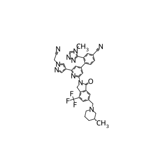 C[C@H]1CCCN(Cc2cc3c(c(C(F)(F)F)c2)CN(c2cc(-c4ccc(C#N)cc4-c4nncn4C)cc(-c4cnn(CC#N)c4)n2)C3=O)C1